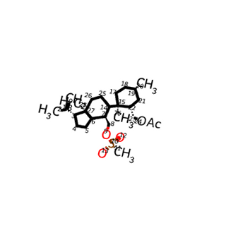 C=C(C)[C@H]1CCC2[C@H](COS(C)(=O)=O)C([C@@]3(C)CC[C@H](C)C[C@@H]3COC(C)=O)CC[C@@]21C